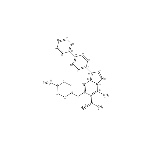 C=C(C)c1c(CC2CCC(C(=O)OCC)CC2)nc2c(-c3ccc(-c4ccccc4)nc3)cnn2c1N